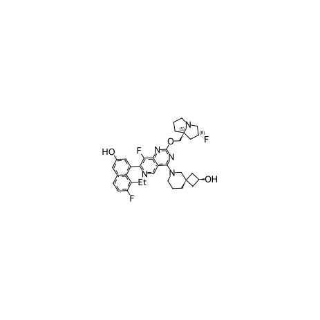 CCc1c(F)ccc2cc(O)cc(-c3ncc4c(N5CCC[C@]6(C5)C[C@H](O)C6)nc(OC[C@@]56CCCN5C[C@H](F)C6)nc4c3F)c12